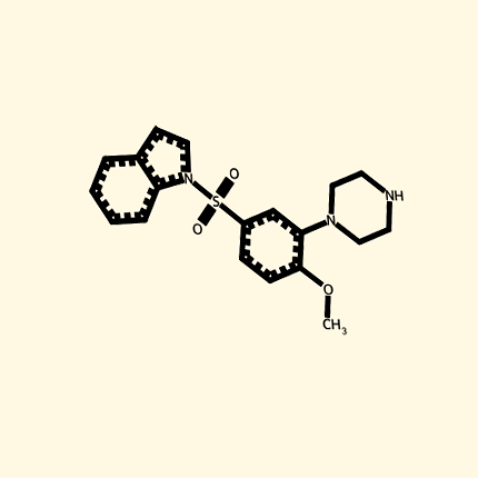 COc1ccc(S(=O)(=O)n2c[c]c3ccccc32)cc1N1CCNCC1